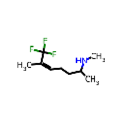 CNC(C)CC/C=C(/C)C(F)(F)F